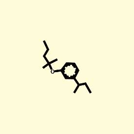 CCCC(C)(C)Oc1cccc(C(C)CC)c1